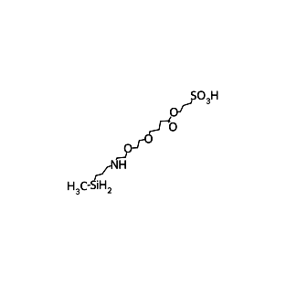 C[SiH2]CCCNCCOCCOCCCC(=O)OCCCS(=O)(=O)O